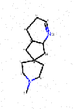 CN1CCC2(CC1)CC1CCC=NC1C2